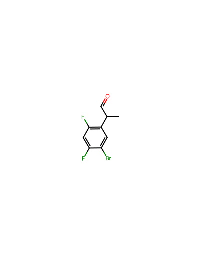 CC(C=O)c1cc(Br)c(F)cc1F